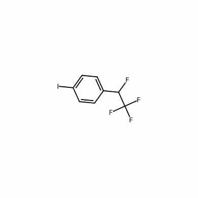 FC(c1ccc(I)cc1)C(F)(F)F